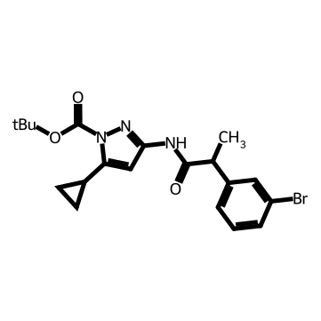 CC(C(=O)Nc1cc(C2CC2)n(C(=O)OC(C)(C)C)n1)c1cccc(Br)c1